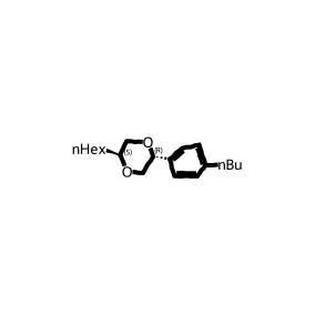 CCCCCC[C@H]1CO[C@H](c2ccc(CCCC)cc2)CO1